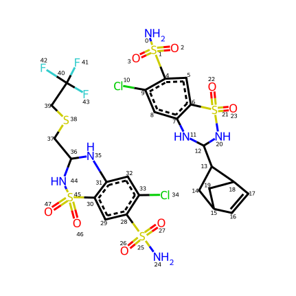 NS(=O)(=O)c1cc2c(cc1Cl)NC(C1CC3C=CC1C3)NS2(=O)=O.NS(=O)(=O)c1cc2c(cc1Cl)NC(CSCC(F)(F)F)NS2(=O)=O